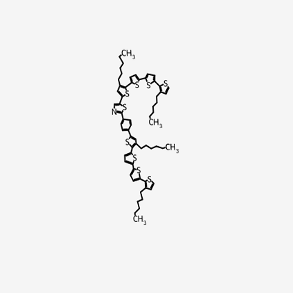 CCCCCCc1ccsc1-c1ccc(-c2ccc(-c3sc(-c4ccc(-c5ncc(-c6cc(CCCCCC)c(-c7ccc(-c8ccc(-c9sccc9CCCCCC)s8)s7)s6)s5)cc4)cc3CCCCCC)s2)s1